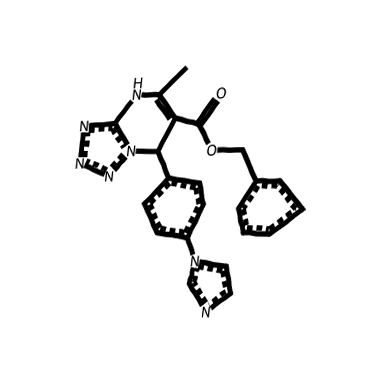 CC1=C(C(=O)OCc2ccccc2)C(c2ccc(-n3ccnc3)cc2)n2nnnc2N1